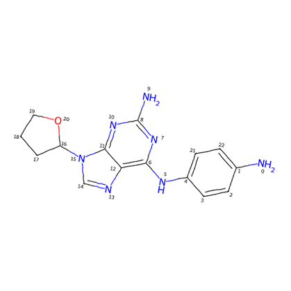 Nc1ccc(Nc2nc(N)nc3c2ncn3C2CCCO2)cc1